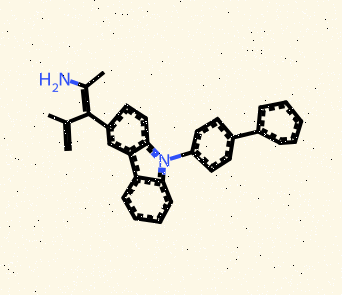 C=C(C)/C(=C(/C)N)c1ccc2c(c1)c1ccccc1n2-c1ccc(-c2ccccc2)cc1